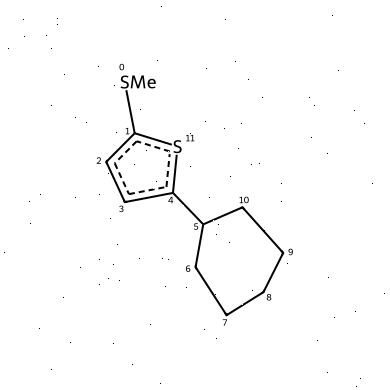 CSc1ccc(C2CCCCC2)s1